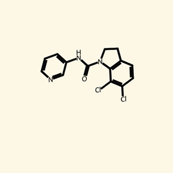 O=C(Nc1cccnc1)N1CCc2ccc(Cl)c(Cl)c21